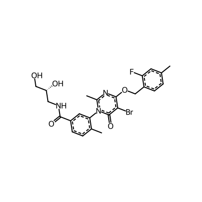 Cc1ccc(COc2nc(C)n(-c3cc(C(=O)NC[C@@H](O)CO)ccc3C)c(=O)c2Br)c(F)c1